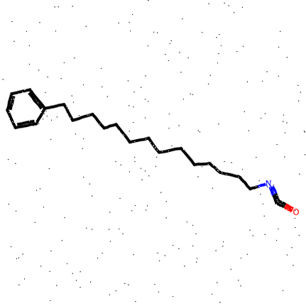 O=C=NCCCCCCCCCCCCCCc1[c]cccc1